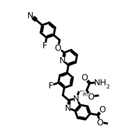 COC(=O)c1ccc2nc(Cc3ccc(-c4cccc(OCc5ccc(C#N)cc5F)n4)cc3F)n(C[C@@H](OC)C(N)=O)c2c1